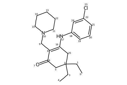 CCC1(CC)CC(=O)C(CN2CCCCC2)=C(Nc2cccc(Cl)c2)C1